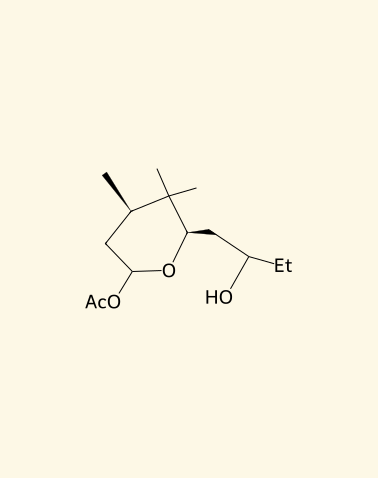 CCC(O)C[C@H]1OC(OC(C)=O)C[C@@H](C)C1(C)C